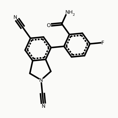 N#Cc1cc2c(c(-c3ccc(F)cc3C(N)=O)c1)CN(C#N)C2